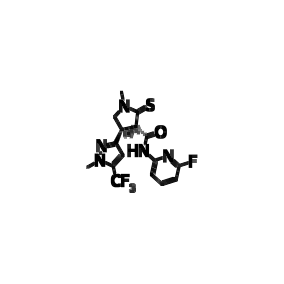 CN1C[C@H](c2cc(C(F)(F)F)n(C)n2)[C@@H](C(=O)Nc2cccc(F)n2)C1=S